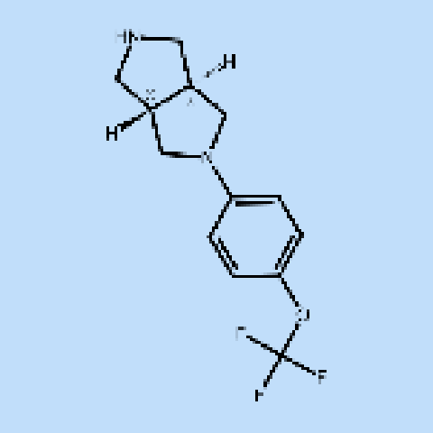 FC(F)(F)Oc1ccc(N2C[C@@H]3CNC[C@H]3C2)cc1